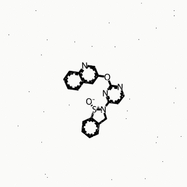 [O-][S+]1c2ccccc2CN1c1ccnc(Oc2cnc3ccccc3c2)n1